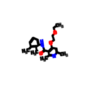 CCOCCOc1cc(C)nc(C)c1C(=O)Nc1cccc(C)c1C